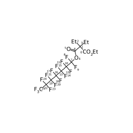 CCOC(=O)C(CC)(CC)C(=O)OC(F)(F)C(F)(F)C(F)(F)C(F)(F)C(F)(F)C(F)(F)C(F)(F)F